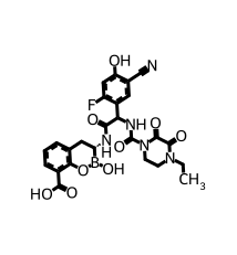 CCN1CCN(C(=O)NC(C(=O)N[C@H]2Cc3cccc(C(=O)O)c3OB2O)c2cc(C#N)c(O)cc2F)C(=O)C1=O